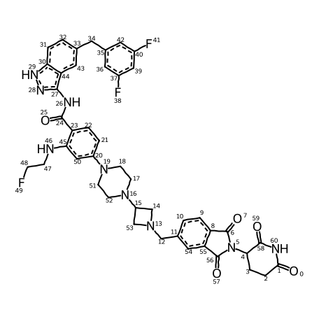 O=C1CCC(N2C(=O)c3ccc(CN4CC(N5CCN(c6ccc(C(=O)Nc7n[nH]c8ccc(Cc9cc(F)cc(F)c9)cc78)c(NCCF)c6)CC5)C4)cc3C2=O)C(=O)N1